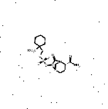 NC(=O)[C@@H]1CC[C@@H]2CN1C(=O)N2OS(=O)(=O)OCC1(C(=O)O)CCCCC1